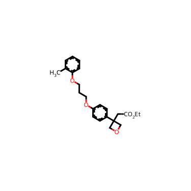 CCOC(=O)CC1(c2ccc(OCCCOc3ccccc3C)cc2)COC1